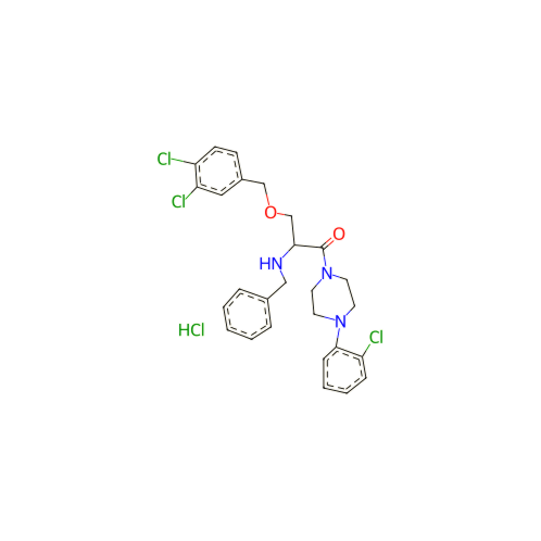 Cl.O=C(C(COCc1ccc(Cl)c(Cl)c1)NCc1ccccc1)N1CCN(c2ccccc2Cl)CC1